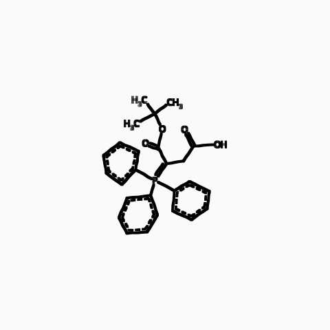 CC(C)(C)OC(=O)C(CC(=O)O)=P(c1ccccc1)(c1ccccc1)c1ccccc1